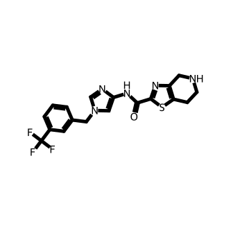 O=C(Nc1cn(Cc2cccc(C(F)(F)F)c2)cn1)c1nc2c(s1)CCNC2